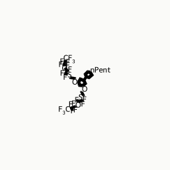 CCCCCc1ccc(-c2cc(OCCSC(F)(F)C(F)OC(F)(F)C(F)(F)C(F)(F)F)cc(OCCSC(F)(F)C(F)OC(F)(F)C(F)(F)C(F)(F)F)c2)cc1